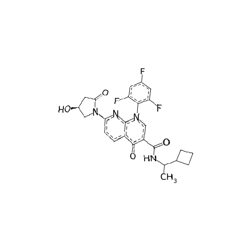 CC(NC(=O)c1cn(-c2c(F)cc(F)cc2F)c2nc(N3C[C@@H](O)CC3=O)ccc2c1=O)C1CCC1